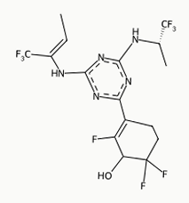 CC=C(Nc1nc(N[C@@H](C)C(F)(F)F)nc(C2=C(F)C(O)C(F)(F)CC2)n1)C(F)(F)F